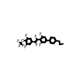 CCCc1ccc(-c2cc(F)c(/C(F)=C(\F)c3cc(F)c(OC(F)(F)F)c(F)c3)c(F)c2)cc1